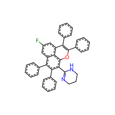 Fc1cc2c3c(c(C4=NCCCN4)c(-c4ccccc4)c(-c4ccccc4)c3c1)OC(c1ccccc1)=C2c1ccccc1